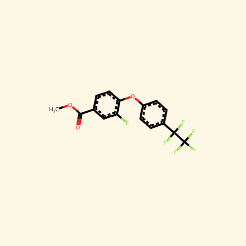 COC(=O)c1ccc(Oc2ccc(C(F)(F)C(F)(F)F)cc2)c(F)c1